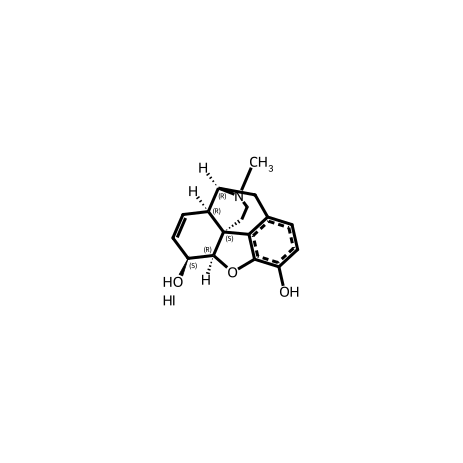 CN1CC[C@]23c4c5ccc(O)c4O[C@H]2[C@@H](O)C=C[C@H]3[C@H]1C5.I